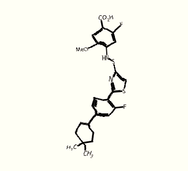 COc1cc(C(=O)O)c(F)cc1NSc1csc(-c2ccc(C3CCC(C)(C)CC3)cc2F)n1